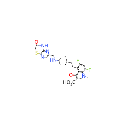 Cn1cc(C(=O)O)c(=O)c2c(CCC3CCC(NCc4cnc5c(n4)NC(=O)CS5)CC3)c(F)cc(F)c21